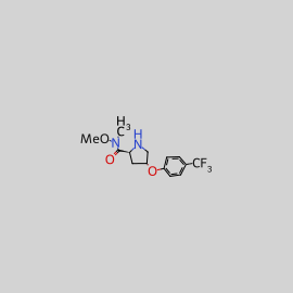 CON(C)C(=O)[C@@H]1C[C@@H](Oc2ccc(C(F)(F)F)cc2)CN1